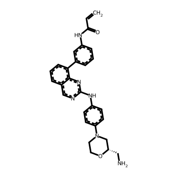 C=CC(=O)Nc1cccc(-c2cccc3cnc(Nc4ccc(N5CCO[C@@H](CN)C5)cc4)nc23)c1